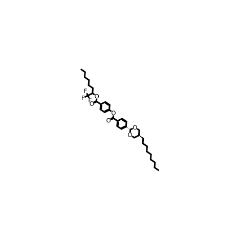 CCCCCCCCC[C@H]1CO[C@H](c2ccc(C(=O)Oc3ccc(C(=O)OC(CCCCCC)C(F)(F)F)cc3)cc2)OC1